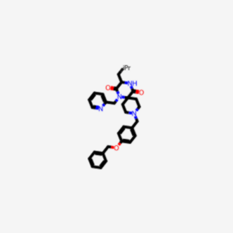 CC(C)CC1NC(=O)C2(CCN(Cc3ccc(OCc4ccccc4)cc3)CC2)N(Cc2ccccn2)C1=O